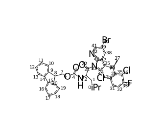 CC(C)CC(NC(=O)OCC1c2ccccc2-c2ccccc21)C(=O)n1cc([C@@H](C)c2c(Cl)ccc(F)c2Cl)c2cc(Br)cnc21